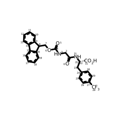 O=C(CNC(=O)OCC1c2ccccc2-c2ccccc21)N[C@@H](Cc1ccc(C(F)(F)F)cc1)C(=O)O